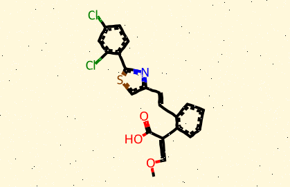 COC=C(C(=O)O)c1ccccc1C=Cc1csc(-c2ccc(Cl)cc2Cl)n1